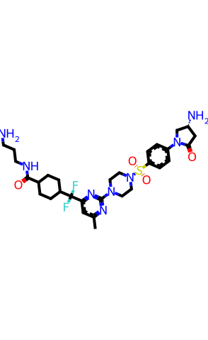 Cc1cc(C(F)(F)C2CCC(C(=O)NCCCN)CC2)nc(N2CCN(S(=O)(=O)c3ccc(N4C[C@H](N)CC4=O)cc3)CC2)n1